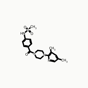 Cc1cnc(N2CCN(C(=O)c3ccc(NS(C)(=O)=O)cc3)CC2)c(C)c1